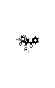 Cc1c(C(=O)c2ccccc2)cn2nc[nH]c(=O)c12